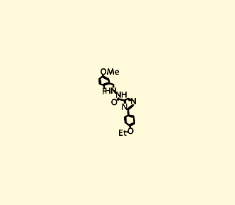 CCOc1ccc(-c2cncc(C(=O)NNCc3cc(OC)ccc3F)n2)cc1